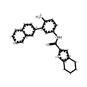 Cc1ccc(NC(=O)c2cc3c(s2)CCCC3)cc1-c1ccc2ccncc2c1